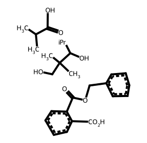 CC(C)C(=O)O.CC(C)C(O)C(C)(C)CO.O=C(O)c1ccccc1C(=O)OCc1ccccc1